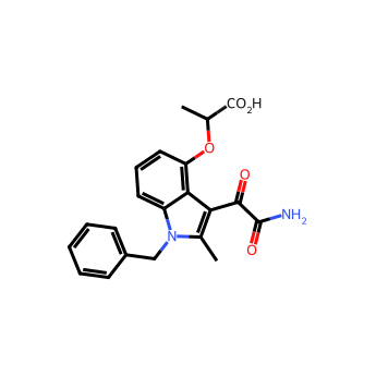 Cc1c(C(=O)C(N)=O)c2c(OC(C)C(=O)O)cccc2n1Cc1ccccc1